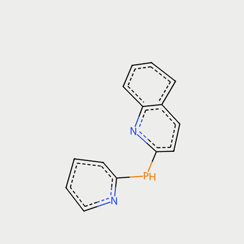 c1ccc(Pc2ccc3ccccc3n2)nc1